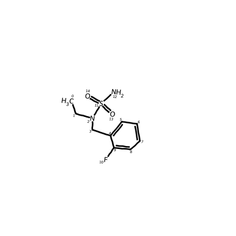 CCN(Cc1ccccc1F)S(N)(=O)=O